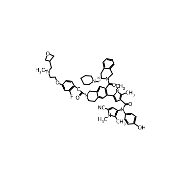 Cc1c(N(C(=O)c2cc(-c3cc4c(cc3C(=O)N3Cc5ccccc5C[C@H]3CN3CCCCC3)CN(C(=O)Cc3ccc(OCCN(C)CC5COC5)cc3F)CC4)n(C)c2C)c2ccc(O)cc2)cc(C#N)n1C